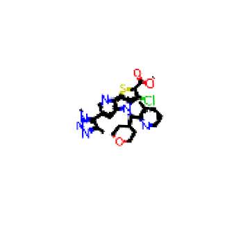 COC(=O)c1sc2c3ncc(-c4c(C)nnn4C)cc3n(C(c3ncccc3C)C3CCOCC3)c2c1Cl